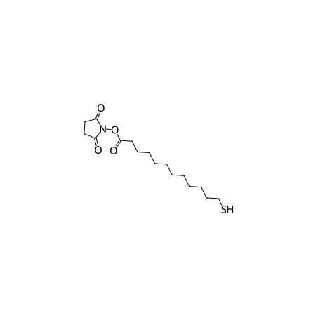 O=C(CCCCCCCCCCCS)ON1C(=O)CCC1=O